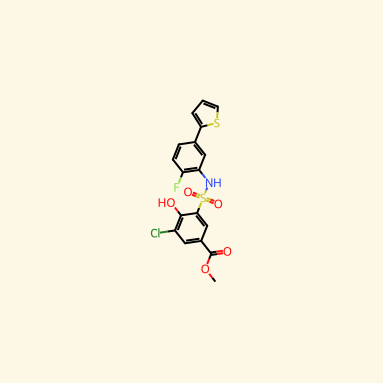 COC(=O)c1cc(Cl)c(O)c(S(=O)(=O)Nc2cc(-c3cccs3)ccc2F)c1